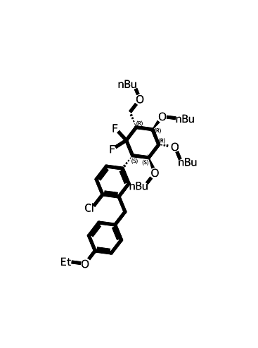 CCCCOC[C@@H]1[C@@H](OCCCC)[C@H](OCCCC)[C@@H](OCCCC)[C@H](c2ccc(Cl)c(Cc3ccc(OCC)cc3)c2)C1(F)F